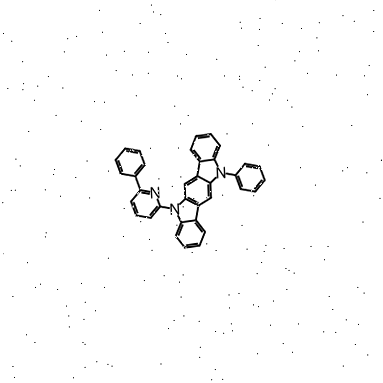 c1ccc(-c2cccc(-n3c4ccccc4c4cc5c(cc43)c3ccccc3n5-c3ccccc3)n2)cc1